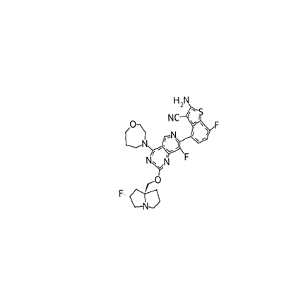 N#Cc1c(N)sc2c(F)ccc(-c3ncc4c(N5CCCOCC5)nc(OC[C@@]56CCCN5C[C@H](F)C6)nc4c3F)c12